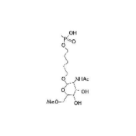 COCC1OC(OCCCCCOP(C)(=O)O)C(NC(C)=O)C(O)C1O